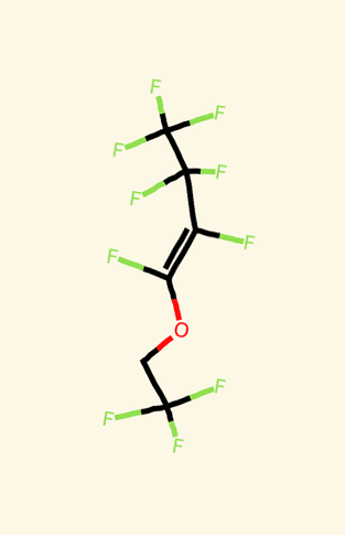 FC(OCC(F)(F)F)=C(F)C(F)(F)C(F)(F)F